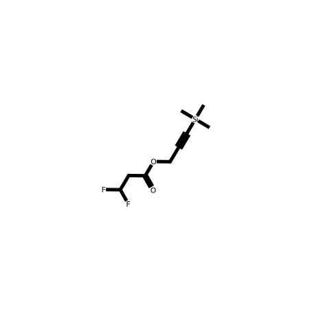 C[Si](C)(C)C#CCOC(=O)CC(F)F